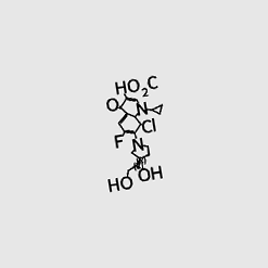 O=C(O)C1=CN(C2CC2)C2C(=CC(F)=C(N3CC[C@@H]([C@@H](O)CO)C3)C2Cl)C1=O